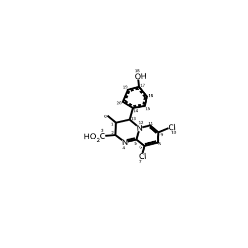 CC1C(C(=O)O)N=C2C(Cl)=CC(Cl)=CN2C1c1ccc(O)cc1